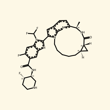 C[C@H]1NC(=O)[C@@H]2C[C@H]2CCCCCn2c(-c3nc4cc(C(=O)N[C@H]5CNCC[C@@H]5F)c(F)cc4n3C(F)F)cc3ccc1nc32